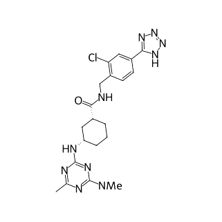 CNc1nc(C)nc(N[C@H]2CCC[C@@H](C(=O)NCc3ccc(-c4nnn[nH]4)cc3Cl)C2)n1